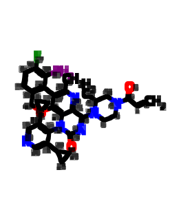 C=CC(=O)N1CCN(c2nc(=O)n(-c3c(C4CC4)cncc3C3CC3)c3c4c(c(C)nc23)-c2c(ccc(F)c2P)CO4)[C@@H](C)C1